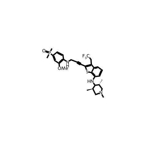 COc1cc(P(C)(C)=O)ccc1NCC#Cc1sc2c(NC3[C@H](C)CN(C)C[C@H]3C)cccc2c1CC(F)(F)F